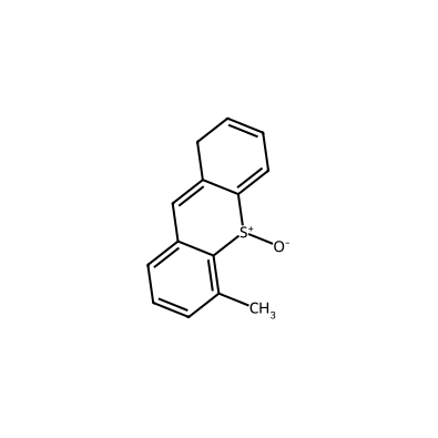 Cc1cccc2c1[S+]([O-])C1=CC=CCC1=C2